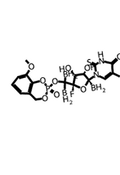 BC(B)(OP1(=O)OCc2cccc(OC)c2O1)[C@@]1(F)O[C@@](B)(n2cc(C)c(=O)[nH]c2=S)[C@H](O)[C@@H]1O